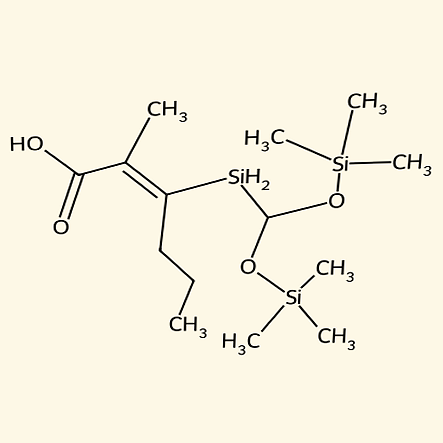 CCC/C([SiH2]C(O[Si](C)(C)C)O[Si](C)(C)C)=C(/C)C(=O)O